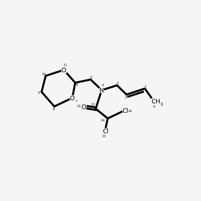 CC=CCN(CC1OCCCO1)C(=O)C(Cl)Cl